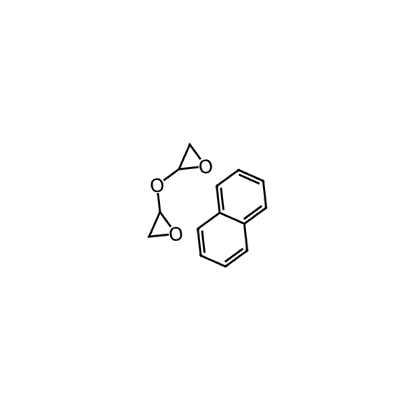 C1OC1OC1CO1.c1ccc2ccccc2c1